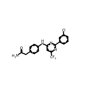 NC(=O)Cc1ccc(Nc2cc(C(F)(F)F)nc(-c3cccc(Cl)c3)n2)cc1